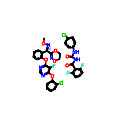 CO/N=C(/C1=NOCCO1)c1ccccc1Oc1ncnc(Oc2ccccc2Cl)c1F.O=C(NC(=O)c1c(F)cccc1F)Nc1ccc(Cl)cc1